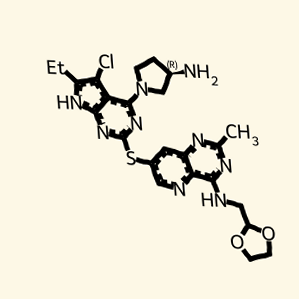 CCc1[nH]c2nc(Sc3cnc4c(NCC5OCCO5)nc(C)nc4c3)nc(N3CC[C@@H](N)C3)c2c1Cl